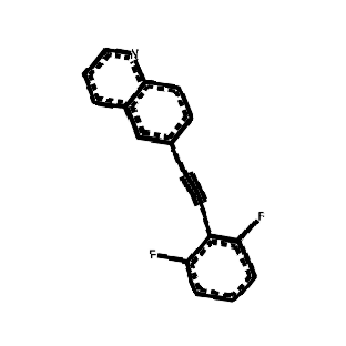 Fc1cccc(F)c1C#Cc1ccc2ncccc2c1